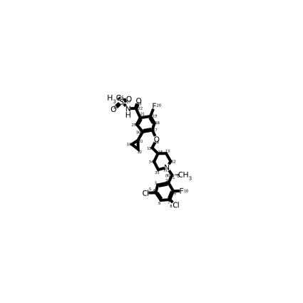 C[C@H](c1cc(Cl)cc(Cl)c1F)N1CCC(COc2cc(F)c(C(=O)NS(C)(=O)=O)cc2C2CC2)CC1